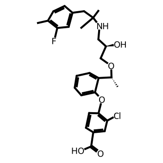 Cc1ccc(CC(C)(C)NC[C@@H](O)CO[C@H](C)c2ccccc2Oc2ccc(C(=O)O)cc2Cl)cc1F